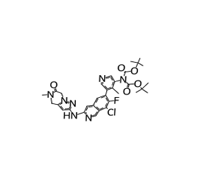 Cc1c(-c2cc3cc(Nc4cc5n(n4)CC(=O)N(C)C5)ncc3c(Cl)c2F)cncc1N(C(=O)OC(C)(C)C)C(=O)OC(C)(C)C